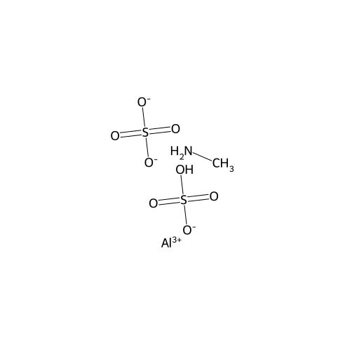 CN.O=S(=O)([O-])O.O=S(=O)([O-])[O-].[Al+3]